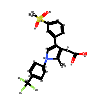 Cc1c(CC(=O)O)c(-c2cccc(S(C)(=O)=O)c2)cn1-c1ccc(C(F)(F)F)cc1